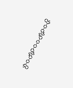 c1ccc2c(-c3ccc(-c4ccc5c(c4)sc4c6ccc(-c7ccc(-c8ccc(-c9ccc%10c(c9)sc9c%11ccc(-c%12ccc(-c%13csc%14ccccc%13%14)cc%12)cc%11sc%109)cc8)cc7)cc6sc54)cc3)csc2c1